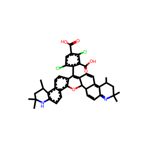 CC1CC(C)(C)N=C2C=CC3C(=C21)C=CC1=C(c2c(Cl)cc(C(=O)O)c(Cl)c2C(=O)O)c2ccc4c5c(ccc4c2OC13)NC(C)(C)CC5C